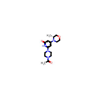 CC(=O)N1CCN(c2cc(N3CCOC[C@H]3C)cc(=O)[nH]2)CC1